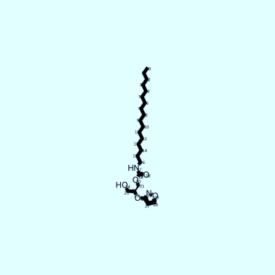 CCCCCCCCCCCCCCCCCNC(=O)OC[C@H](CO)Oc1ccon1